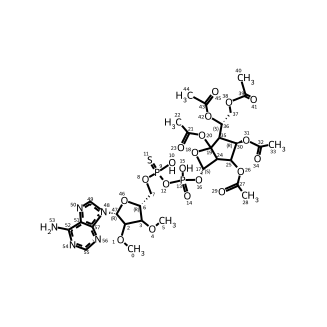 COC1C(OC)[C@@H](COP(O)(=S)OP(=O)(O)O[C@@H]2OC3(OC(C)=O)C2C(OC(C)=O)[C@H](OC(C)=O)C3[C@@H](COC(C)=O)OC(C)=O)O[C@H]1n1cnc2c(N)ncnc21